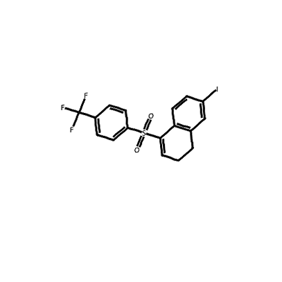 O=S(=O)(C1=CCCc2cc(I)ccc21)c1ccc(C(F)(F)F)cc1